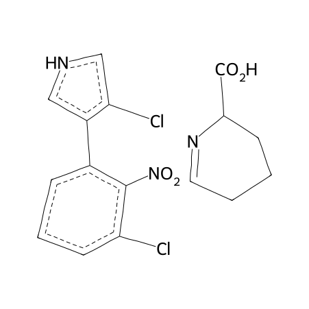 O=C(O)C1CCCC=N1.O=[N+]([O-])c1c(Cl)cccc1-c1c[nH]cc1Cl